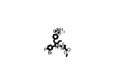 CCOC(=O)c1csc(-n2nc(-c3ccc(F)c(Br)c3)c(Cc3ccc(S(N)(=O)=O)cc3)c2CC)n1